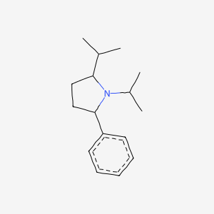 CC(C)C1CCC(c2ccccc2)N1C(C)C